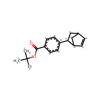 CCC(C)(C)OC(=O)c1ccc(C2CC3C=CC2C3)cc1